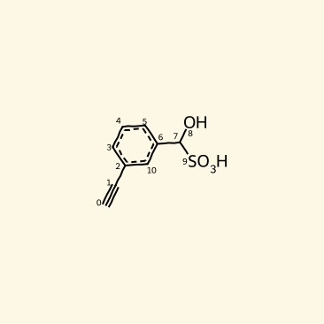 C#Cc1cccc(C(O)S(=O)(=O)O)c1